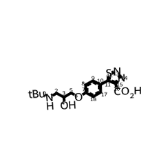 CC(C)(C)NCC(O)COc1ccc(-c2snnc2C(=O)O)cc1